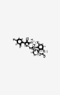 Nc1c(Cl)c(-c2ccc(F)cc2F)nn1CC(=O)N1CCC[C@@]2(C1)OC(=O)Nc1ccc(Cl)c(F)c12